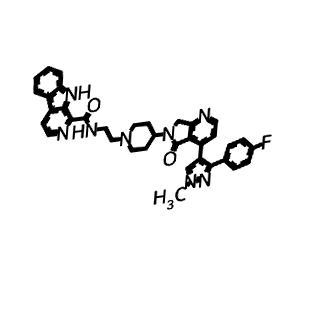 Cn1cc(-c2ccnc3c2C(=O)N(C2CCN(CCNC(=O)c4nccc5c4[nH]c4ccccc45)CC2)C3)c(-c2ccc(F)cc2)n1